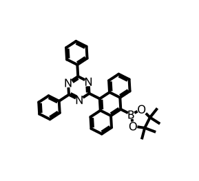 CC1(C)OB(c2c3ccccc3c(-c3nc(-c4ccccc4)nc(-c4ccccc4)n3)c3ccccc23)OC1(C)C